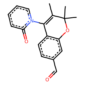 CC1=C(n2ccccc2=O)c2ccc(C=O)cc2OC1(C)C